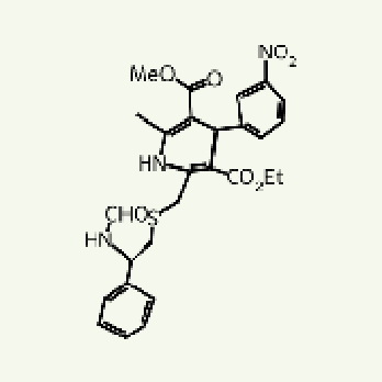 CCOC(=O)C1=C(CSC[C@H](NC=O)c2ccccc2)NC(C)=C(C(=O)OC)C1c1cccc([N+](=O)[O-])c1